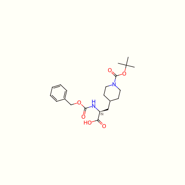 CC(C)(C)OC(=O)N1CCC(C[C@H](NC(=O)OCc2ccccc2)C(=O)O)CC1